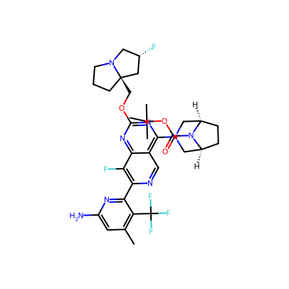 Cc1cc(N)nc(-c2ncc3c(N4C[C@H]5CC[C@@H](C4)N5C(=O)OC(C)(C)C)nc(OC[C@@]45CCCN4C[C@H](F)C5)nc3c2F)c1C(F)(F)F